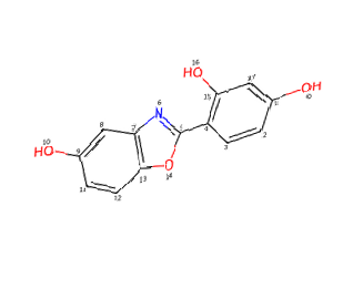 Oc1ccc(-c2nc3cc(O)ccc3o2)c(O)c1